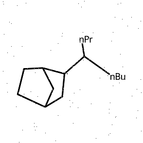 CCCCC(CCC)[C]1CC2CCC1C2